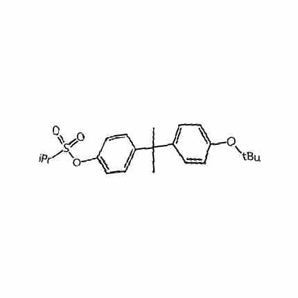 CC(C)S(=O)(=O)Oc1ccc(C(C)(C)c2ccc(OC(C)(C)C)cc2)cc1